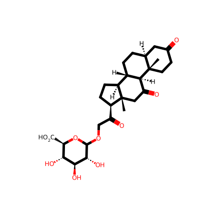 C[C@]12CCC(=O)C[C@@H]1CC[C@H]1[C@@H]3CC[C@H](C(=O)COC4O[C@H](C(=O)O)[C@@H](O)[C@H](O)[C@H]4O)[C@@]3(C)CC(=O)[C@@H]12